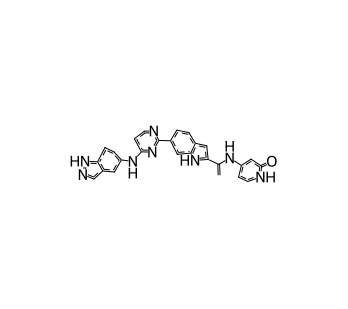 C=C(Nc1cc[nH]c(=O)c1)c1cc2ccc(-c3nccc(Nc4ccc5[nH]ncc5c4)n3)cc2[nH]1